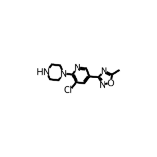 Cc1nc(-c2cnc(N3CCNCC3)c(Cl)c2)no1